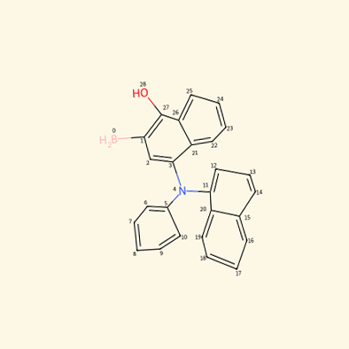 Bc1cc(N(c2ccccc2)c2cccc3ccccc23)c2ccccc2c1O